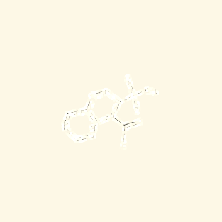 O=C(Cl)c1c(S(=O)(=O)O)ccc2ccccc12